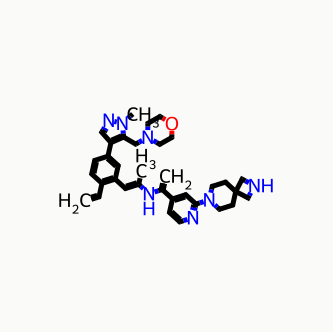 C=Cc1ccc(-c2cnn(C)c2CN2CCOCC2)cc1/C=C(\C)NC(=C)c1ccnc(N2CCC3(CC2)CNC3)c1